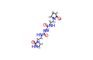 O=C(/N=N/C(=O)NCCN1CCNC1=O)NCCN1CCCC1=O